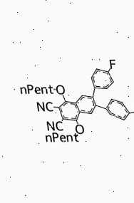 CCCCCOc1c(C#N)c(C#N)c(OCCCCC)c2cc(-c3ccc(F)cc3)c(-c3ccc(F)cc3)cc12